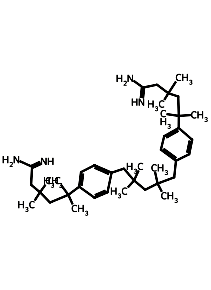 CC(C)(Cc1ccc(C(C)(C)CC(C)(C)CC(=N)N)cc1)CC(C)(C)Cc1ccc(C(C)(C)CC(C)(C)CC(=N)N)cc1